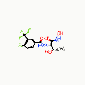 C[C@@H](O)[C@H](NC(=O)c1ccc(F)c(C(F)(F)F)c1)C(=O)NO